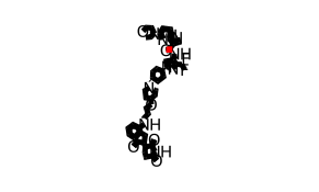 O=C1CCC(C2Cc3c(NCCCOC4CCN(C[C@H]5CC[C@H](n6cc(NC(=O)c7cnn8ccc(N9CCOCC9)nc78)c(C(F)F)n6)CC5)CC4)cccc3C2=O)C(=O)N1